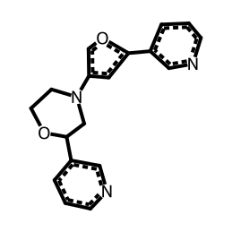 c1cncc(-c2cc(N3CCOC(c4cccnc4)C3)co2)c1